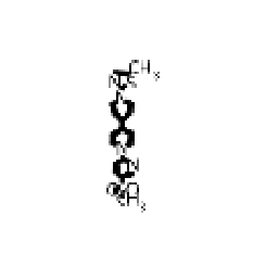 Cc1cnc(N2CCC(C3CCN(c4ccc(S(C)(=O)=O)cn4)CC3)CC2)s1